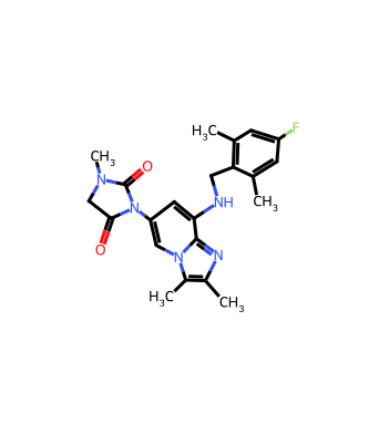 Cc1cc(F)cc(C)c1CNc1cc(N2C(=O)CN(C)C2=O)cn2c(C)c(C)nc12